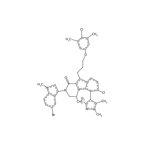 Cc1cc(OCCCc2c3n(c4c(-c5c(C)nn(C)c5C)c(Cl)ccc24)C(C)CN(c2cn(C)c4ccc(Br)cc24)C3=O)cc(C)c1Cl